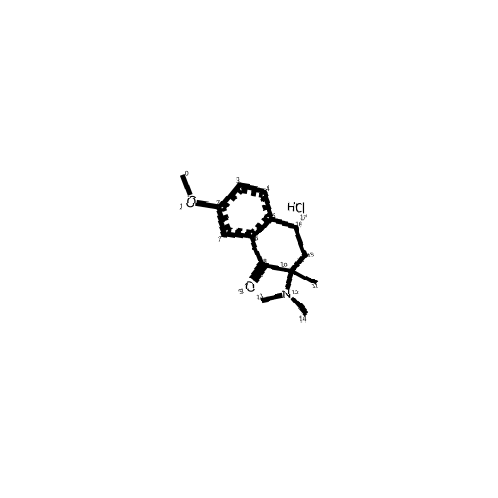 COc1ccc2c(c1)C(=O)C(C)(N(C)C)CC2.Cl